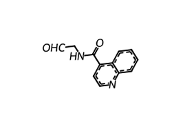 O=CCNC(=O)c1ccnc2ccccc12